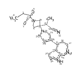 CCS(=O)(=O)N1CC(C(C)C#N)(n2cc(-c3ccnc4[nH]ccc34)cn2)C1